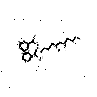 CCCCC(O)CC(O)CCCC.O=C(O)c1ccccc1.O=C(O)c1ccccc1